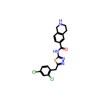 O=C(Nc1nnc(Cc2ccc(Cl)cc2Cl)s1)c1ccc2c(c1)CCNC2